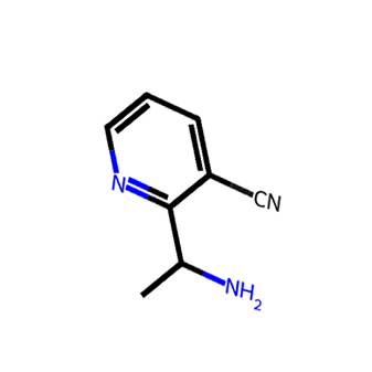 CC(N)c1ncccc1C#N